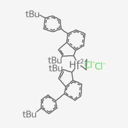 CC(C)(C)C1=Cc2c(-c3ccc(C(C)(C)C)cc3)cccc2[CH]1[Hf+2]1([CH]2C(C(C)(C)C)=Cc3c(-c4ccc(C(C)(C)C)cc4)cccc32)[CH2][CH2]1.[Cl-].[Cl-]